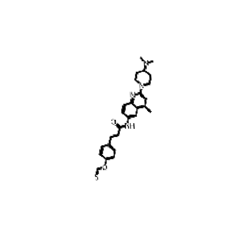 Cc1cc(N2CCC(N(C)C)CC2)nc2ccc(NC(=O)CCc3ccc(OC=S)cc3)cc12